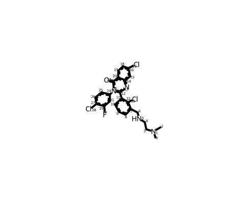 CN(C)CCNCc1cccc(-c2nc3cc(Cl)ccc3c(=O)n2-c2ccc(Cl)c(F)c2)c1Cl